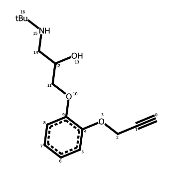 C#CCOc1ccccc1OCC(O)CNC(C)(C)C